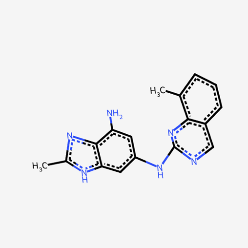 Cc1nc2c(N)cc(Nc3ncc4cccc(C)c4n3)cc2[nH]1